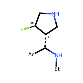 CCNC(C(C)=O)[C@H]1CNC[C@@H]1F